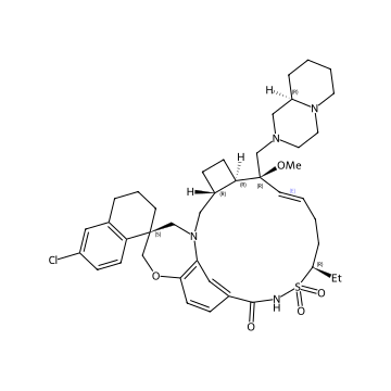 CC[C@@H]1CC/C=C/[C@](CN2CCN3CCCC[C@@H]3C2)(OC)[C@@H]2CC[C@H]2CN2C[C@@]3(CCCc4cc(Cl)ccc43)COc3ccc(cc32)C(=O)NS1(=O)=O